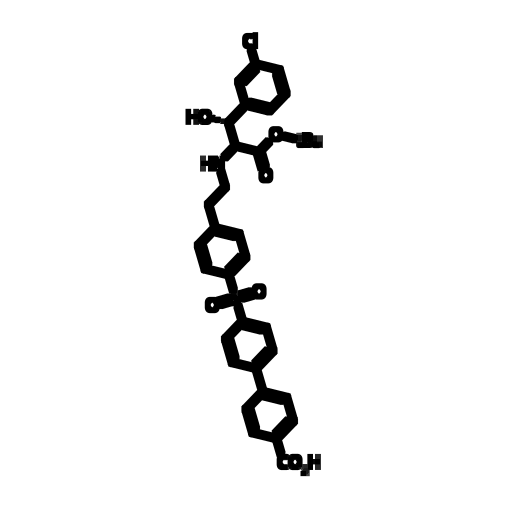 CC(C)(C)OC(=O)C(NCCc1ccc(S(=O)(=O)c2ccc(-c3ccc(C(=O)O)cc3)cc2)cc1)[C@H](O)c1cccc(Cl)c1